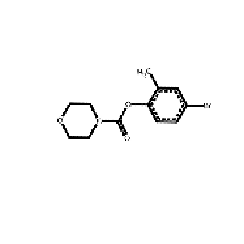 Cc1cc(Br)ccc1OC(=O)N1CCOCC1